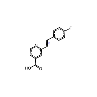 O=C(O)c1ccnc(/C=C/c2ccc(F)cc2)c1